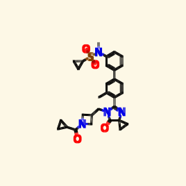 Cc1cc(-c2cccc(N(C)S(=O)(=O)C3CC3)c2)ccc1C1=NC2(CC2)C(=O)N1CC1CN(C(=O)C2CC2)C1